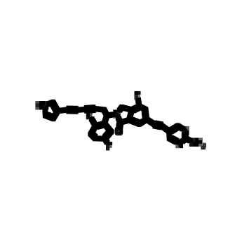 Nc1ncc(C#Cc2cc(F)c3c(c2)C(=O)N(C(CC#CC#Cc2cc[nH]c2)c2cc(F)ccc2F)C3)cn1